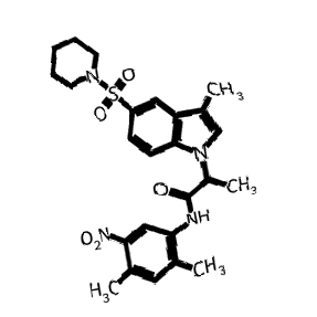 Cc1cc(C)c([N+](=O)[O-])cc1NC(=O)C(C)n1cc(C)c2cc(S(=O)(=O)N3CCCCC3)ccc21